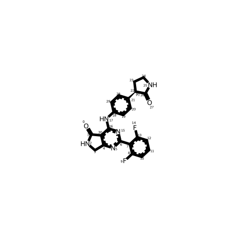 O=C1NCc2nc(-c3c(F)cccc3F)nc(Nc3ccc([C@H]4CCNC4=O)cc3)c21